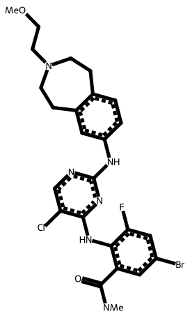 CNC(=O)c1cc(Br)cc(F)c1Nc1nc(Nc2ccc3c(c2)CCN(CCOC)CC3)ncc1Cl